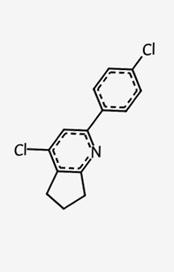 Clc1ccc(-c2cc(Cl)c3c(n2)CCC3)cc1